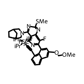 COCOc1cc(-c2nc(C)c3c(N4CC5CCC(C5)C4)nc(SC)nc3c2F)c2c(C#C[Si](C(C)C)(C(C)C)C(C)C)cccc2c1